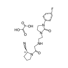 N#C[C@@H]1CCCN1C(=O)CNCCN1CCN(c2ccc(F)cc2)C1=O.O=C(O)C(=O)O